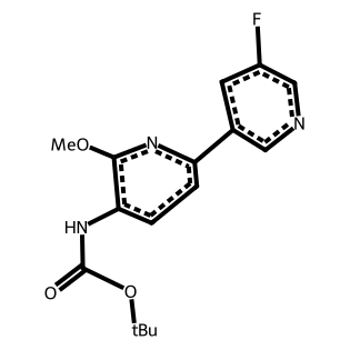 COc1nc(-c2cncc(F)c2)ccc1NC(=O)OC(C)(C)C